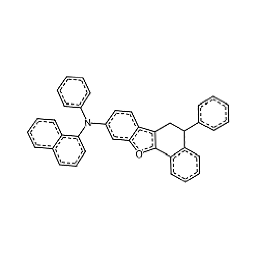 c1ccc(C2Cc3c(oc4cc(N(c5ccccc5)c5cccc6ccccc56)ccc34)-c3ccccc32)cc1